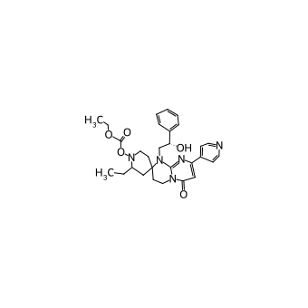 CCOC(=O)ON1CCC2(CCn3c(nc(-c4ccncc4)cc3=O)N2C[C@@H](O)c2ccccc2)CC1CC